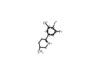 CC1CCC(c2cc(F)c(F)c(Cl)c2)=NC1